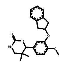 COc1ccc(C2OC(=O)NCC2(C)C)cc1OC1Cc2ccccc2C1